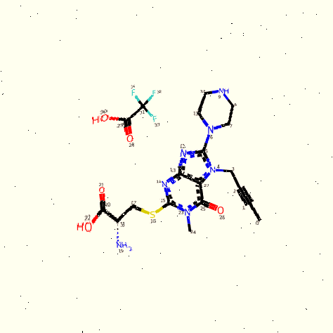 CC#CCn1c(N2CCNCC2)nc2nc(SC[C@H](N)C(=O)O)n(C)c(=O)c21.O=C(O)C(F)(F)F